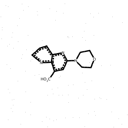 O=C(O)c1cc(N2CCOCC2)nc2cccnc12